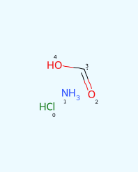 Cl.N.O=[C]O